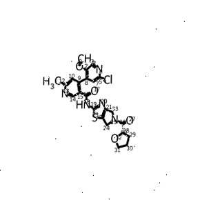 COc1cnc(Cl)cc1-c1cc(C)ncc1C(=O)Nc1nc2c(s1)CN(C(=O)[C@@H]1CCCO1)C2